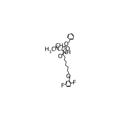 CN(C)C[C@@H](CC(=O)OCc1ccccc1)NC(=O)CCCCCCCOCc1cc(F)ccc1F